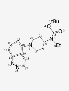 CCN(C(=O)OC(C)(C)C)C1CCN(c2cccc3nnccc23)CC1